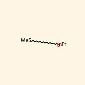 CCCOCCCCCCCCCCCCCCCCSC